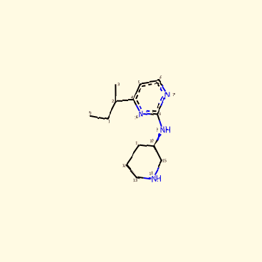 CCC(C)c1ccnc(N[C@@H]2CCCNC2)n1